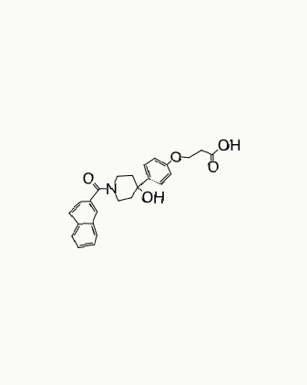 O=C(O)CCOc1ccc(C2(O)CCN(C(=O)c3ccc4ccccc4c3)CC2)cc1